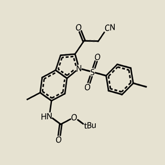 Cc1ccc(S(=O)(=O)n2c(C(=O)CC#N)cc3cc(C)c(NC(=O)OC(C)(C)C)cc32)cc1